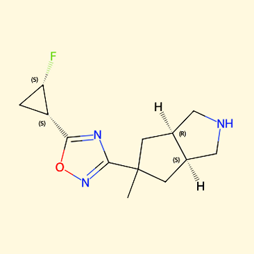 CC1(c2noc([C@@H]3C[C@@H]3F)n2)C[C@H]2CNC[C@H]2C1